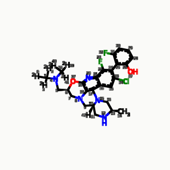 [2H]C([2H])([2H])N(C[C@@H]1CN2C[C@H]3CN[C@H](C)CN3c3c2c(nc2c(F)c(-c4c(O)cccc4F)c(Cl)cc32)O1)C([2H])([2H])[2H]